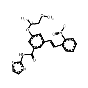 COC[C@H](C)Oc1cc(C=Cc2ccccc2[N+](=O)[O-])cc(C(=O)Nc2nccs2)c1